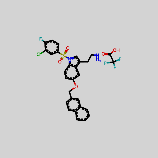 NCCc1cn(S(=O)(=O)c2ccc(F)c(Cl)c2)c2ccc(OCc3ccc4ccccc4c3)cc12.O=C(O)C(F)(F)F